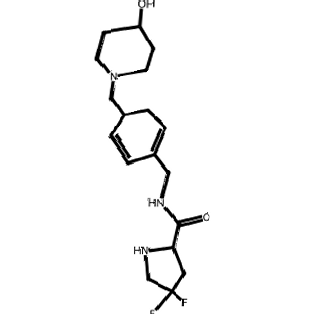 O=C(NCC1=CCC(CN2CCC(O)CC2)C=C1)C1CC(F)(F)CN1